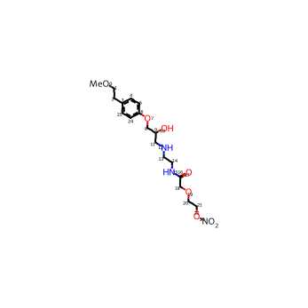 COCCc1ccc(OCC(O)CNCCNC(=O)COCCO[N+](=O)[O-])cc1